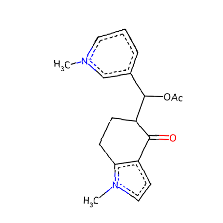 CC(=O)OC(c1ccc[n+](C)c1)C1CCc2c(ccn2C)C1=O